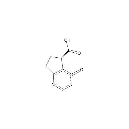 O=C(O)[C@@H]1CCc2nccc(=O)n21